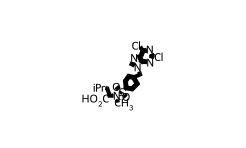 CC(C)C[C@@H](C(=O)O)N(C)S(=O)(=O)c1ccc(Cn2cnc3c(Cl)nc(Cl)nc32)cc1